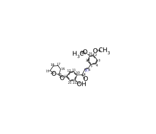 COc1ccc(/C=C/C(=O)c2ccc(OC3CCCCO3)cc2O)cc1OC